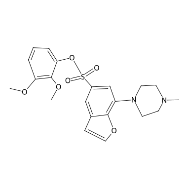 COc1cccc(OS(=O)(=O)c2cc(N3CCN(C)CC3)c3occc3c2)c1OC